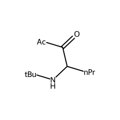 CCCC(NC(C)(C)C)C(=O)C(C)=O